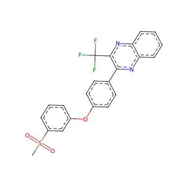 CS(=O)(=O)c1cccc(Oc2ccc(-c3nc4ccccc4nc3C(F)(F)F)cc2)c1